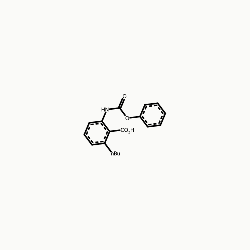 CCCCc1cccc(NC(=O)Oc2ccccc2)c1C(=O)O